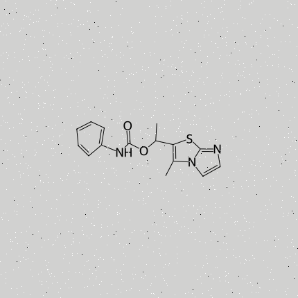 Cc1c(C(C)OC(=O)Nc2ccccc2)sc2nccn12